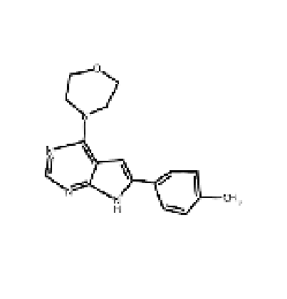 Cc1ccc(-c2cc3c(N4CCOCC4)ncnc3[nH]2)cc1